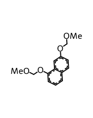 COCOc1ccc2cccc(OCOC)c2c1